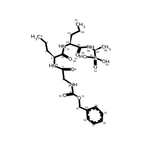 CCC[C@H](NC(=O)CNC(=O)OCc1ccccc1)C(=O)N[C@@H](CCC)C(=O)N[C@@H](C)P(=O)(O)O